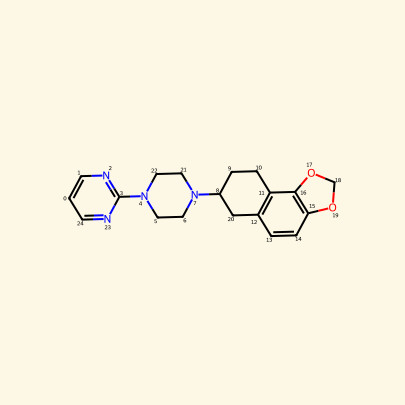 c1cnc(N2CCN(C3CCc4c(ccc5c4OCO5)C3)CC2)nc1